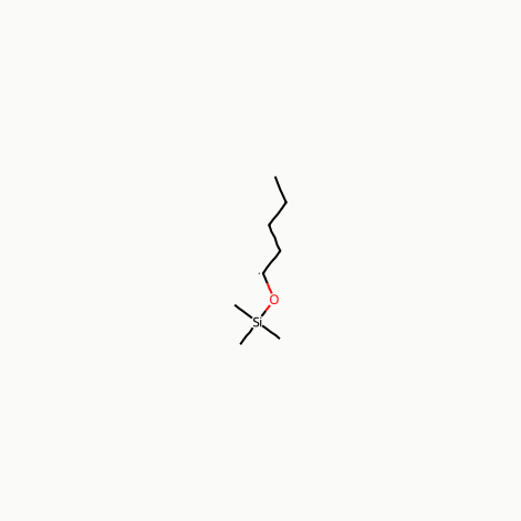 CCCC[CH]O[Si](C)(C)C